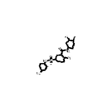 O=C(NC1CCC(F)C(Cl)C1)C1CC(S(=O)(=O)NC2CCC(O)CC2)CCC1Cl